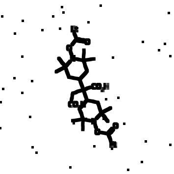 CCC(=O)ON1C(C)(C)CC(C(CC(=O)O)(C(=O)O)C2CC(C)(C)N(OC(=O)CC)C(C)(C)C2)CC1(C)C